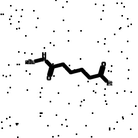 CCCCNC(=O)CCCCC(=O)CC